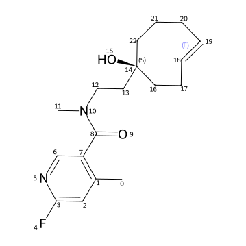 Cc1cc(F)ncc1C(=O)N(C)CC[C@@]1(O)CC/C=C/CCC1